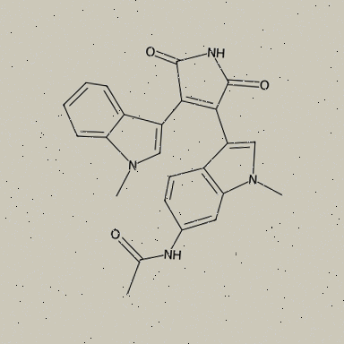 CC(=O)Nc1ccc2c(C3=C(c4cn(C)c5ccccc45)C(=O)NC3=O)cn(C)c2c1